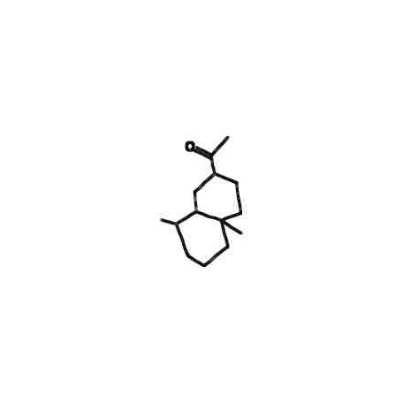 CC(=O)C1CCC2(C)CCCC(C)C2C1